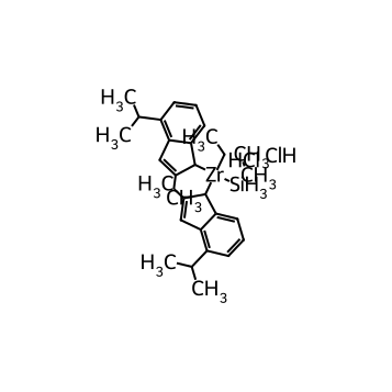 CC.C[CH2][Zr]([SiH3])([CH]1C(C)=Cc2c(C(C)C)cccc21)[CH]1C(C)=Cc2c(C(C)C)cccc21.Cl.Cl